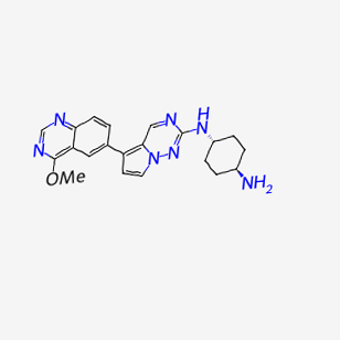 COc1ncnc2ccc(-c3ccn4nc(N[C@H]5CC[C@H](N)CC5)ncc34)cc12